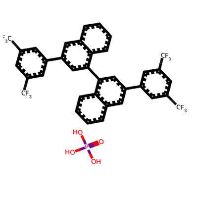 FC(F)(F)c1cc(-c2cc(-c3cc(-c4cc(C(F)(F)F)cc(C(F)(F)F)c4)cc4ccccc34)c3ccccc3c2)cc(C(F)(F)F)c1.O=P(O)(O)O